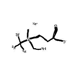 [2H]C[Si](C)(CCC(=O)[O-])C([2H])([2H])[2H].[Na+]